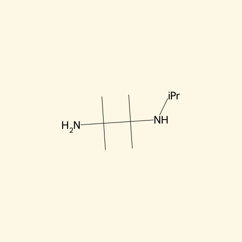 CC(C)NC(C)(C)C(C)(C)N